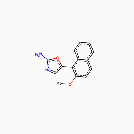 CCOc1ccc2ccccc2c1-c1cnc(N)o1